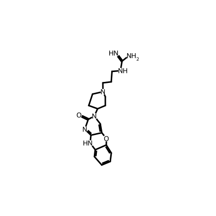 N=C(N)NCCCN1CCC(n2cc3c(nc2=O)Nc2ccccc2O3)CC1